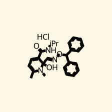 CC1=CC=C(C(=O)NC(C)C)C(O)(C=NOC(c2ccccc2)c2ccccc2)N1C.Cl